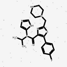 CC(C)N(C(=O)c1nc(CN2CCNCC2)sc1-c1ccc(F)cc1)c1cnc[nH]1